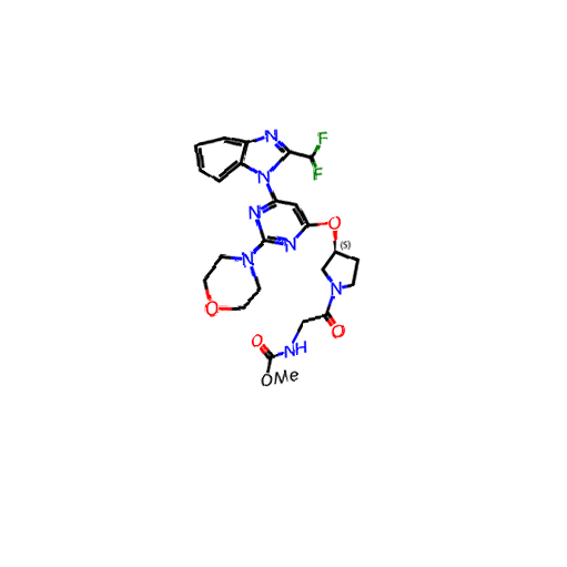 COC(=O)NCC(=O)N1CC[C@H](Oc2cc(-n3c(C(F)F)nc4ccccc43)nc(N3CCOCC3)n2)C1